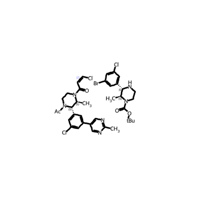 CC(=O)N1CCN(C(=O)/C=C\Cl)[C@@H](C)[C@@H]1c1cc(Cl)cc(-c2cnc(C)nc2)c1.C[C@H]1[C@H](c2cc(Cl)cc(Br)c2)NCCN1C(=O)OC(C)(C)C